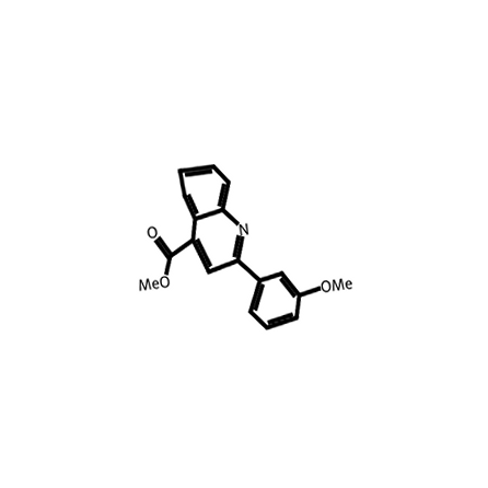 COC(=O)c1cc(-c2cccc(OC)c2)nc2ccccc12